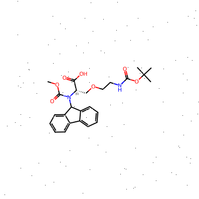 COC(=O)N(C1c2ccccc2-c2ccccc21)[C@@H](COCCNC(=O)OC(C)(C)C)C(=O)O